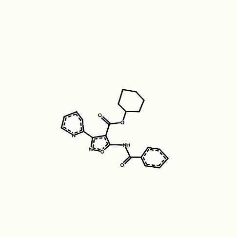 O=C(Nc1onc(-c2ccccn2)c1C(=O)OC1CCCCC1)c1ccccc1